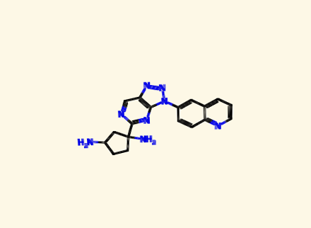 NC1CCC(N)(c2ncc3nnn(-c4ccc5ncccc5c4)c3n2)C1